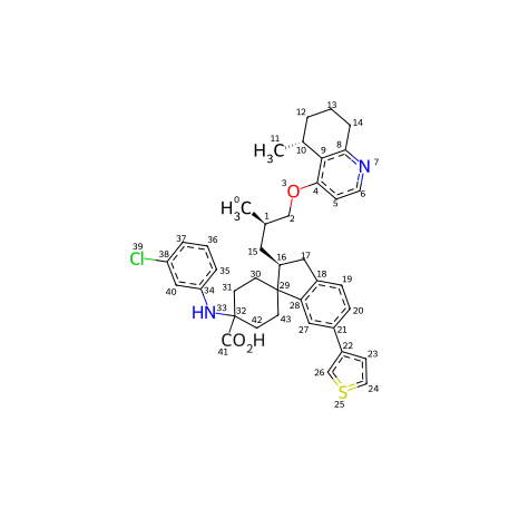 C[C@@H](COc1ccnc2c1[C@H](C)CCC2)C[C@H]1Cc2ccc(-c3ccsc3)cc2C12CCC(Nc1cccc(Cl)c1)(C(=O)O)CC2